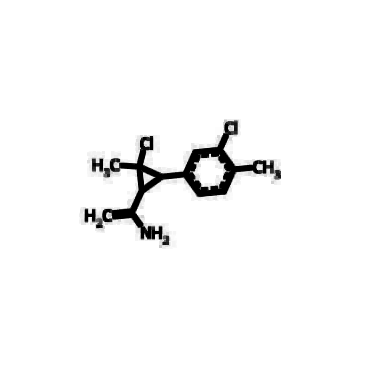 C=C(N)C1C(c2ccc(C)c(Cl)c2)C1(C)Cl